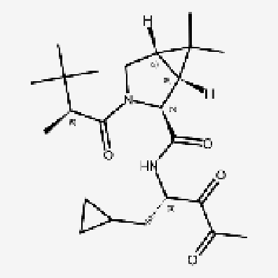 CC(=O)C(=O)[C@H](CC1CC1)NC(=O)[C@@H]1[C@@H]2[C@H](CN1C(=O)[C@@H](C)C(C)(C)C)C2(C)C